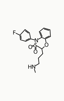 CNCCCC1Oc2ccccc2N(c2ccc(F)cc2)S1(=O)=O